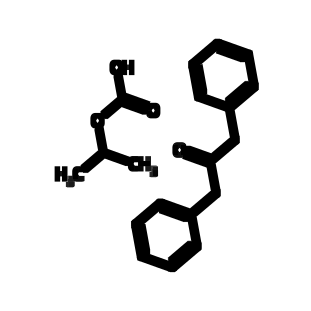 CC(C)OC(=O)O.O=C(Cc1ccccc1)Cc1ccccc1